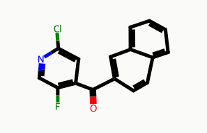 O=C(c1ccc2ccccc2c1)c1cc(Cl)ncc1F